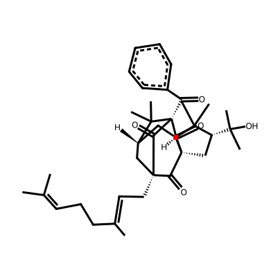 CC(C)=CCC/C(C)=C/C[C@@]12C[C@H]3C[C@H]4C(C)(C)[C@H](C(C)(C)O)C[C@]4(C1=O)C(=O)[C@@](C(=O)c1ccccc1)(C2=O)C3(C)C